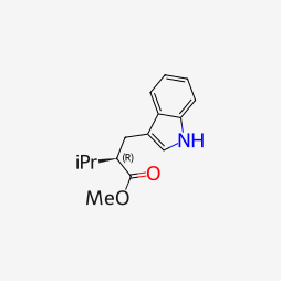 COC(=O)[C@H](Cc1c[nH]c2ccccc12)C(C)C